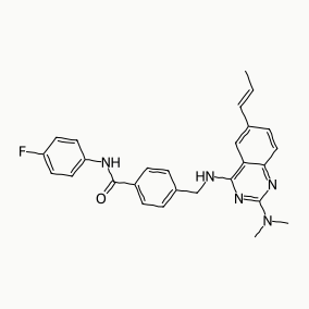 C/C=C/c1ccc2nc(N(C)C)nc(NCc3ccc(C(=O)Nc4ccc(F)cc4)cc3)c2c1